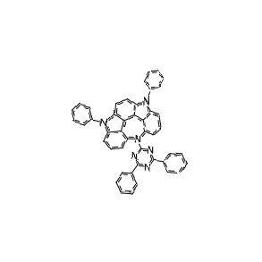 c1ccc(-c2nc(-c3ccccc3)nc(-n3c4cccc5c4c4c6c7c(cccc73)n(-c3ccccc3)c6ccc4n5-c3ccccc3)n2)cc1